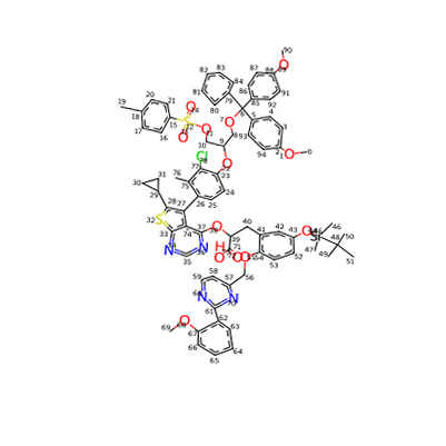 COc1ccc(C(OCC(COS(=O)(=O)c2ccc(C)cc2)Oc2ccc(-c3c(C4CC4)sc4ncnc(OC(Cc5cc(O[Si](C)(C)C(C)(C)C)ccc5OCc5ccnc(-c6ccccc6OC)n5)C(=O)O)c34)c(C)c2Cl)(c2ccccc2)c2ccc(OC)cc2)cc1